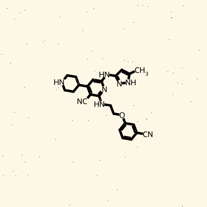 Cc1cc(Nc2cc(C3CCNCC3)c(C#N)c(NCCOc3cccc(C#N)c3)n2)n[nH]1